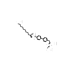 CCCCCCCCCCc1cnc(-c2ccc(-c3ccc(CC(C)OC(=O)CC)cc3)cc2)nc1